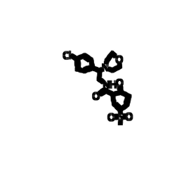 CS(=O)(=O)C1=CC(C(=O)NCC(c2ccc(Cl)cc2)N2CCOCC2)C(=O)C=C1